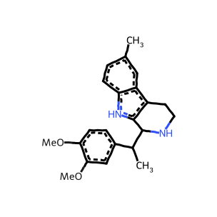 COc1ccc(C(C)C2NCCc3c2[nH]c2ccc(C)cc32)cc1OC